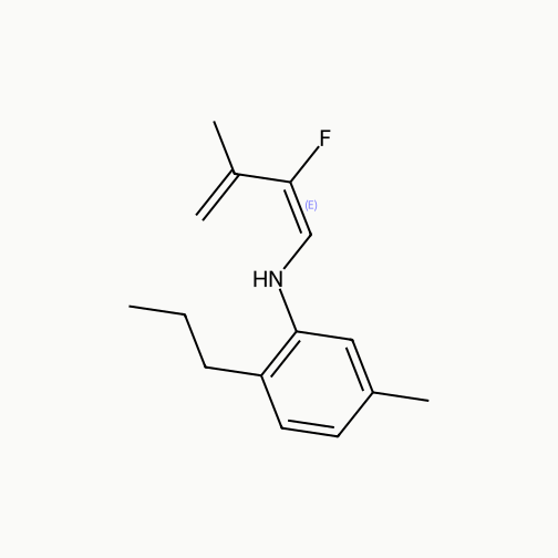 C=C(C)/C(F)=C\Nc1cc(C)ccc1CCC